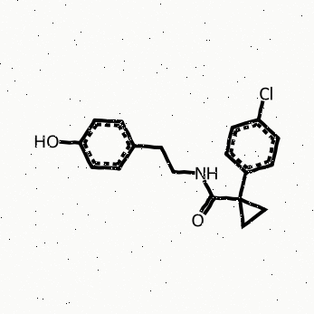 O=C(NCCc1ccc(O)cc1)C1(c2ccc(Cl)cc2)CC1